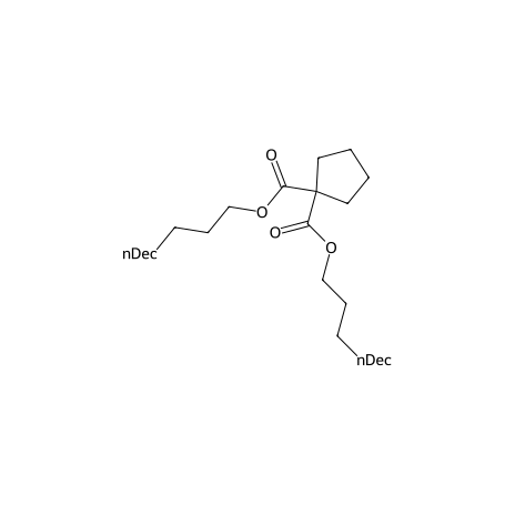 CCCCCCCCCCCCCOC(=O)C1(C(=O)OCCCCCCCCCCCCC)CCCC1